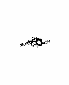 CC(C)(C)[SiH2]OC(C)(C)c1ccc(O)cc1